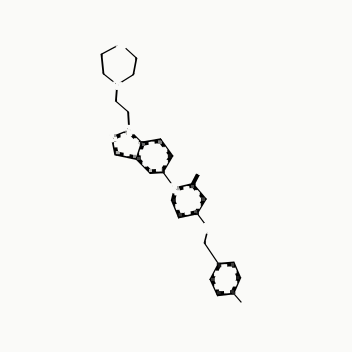 Cl.O=c1cc(OCc2ccc(Cl)cc2)ccn1-c1ccc2c(cnn2CCN2CCOCC2)c1